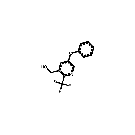 OCc1cc(Oc2ccccc2)cnc1C(F)(F)F